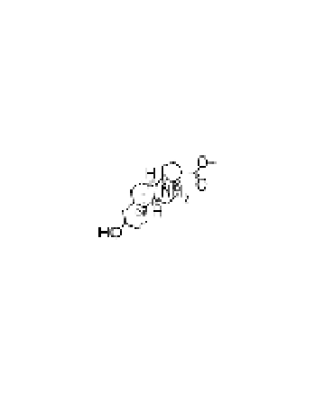 COC(=O)C1CC[C@@]2(N)[C@@H]3CCC4CC(O)CC[C@]4(C)[C@@H]3CC[C@]12C